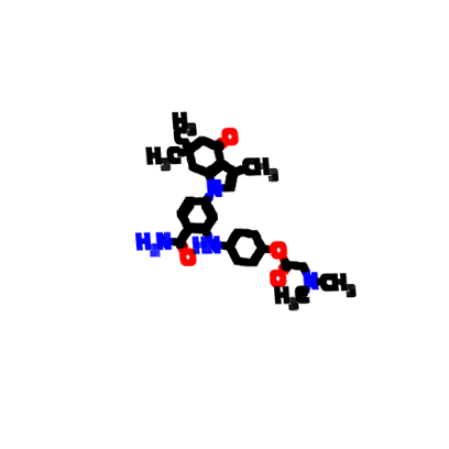 Cc1cn(-c2ccc(C(N)=O)c(NC3CCC(OC(=O)CN(C)C)CC3)c2)c2c1C(=O)CC(C)(C)C2